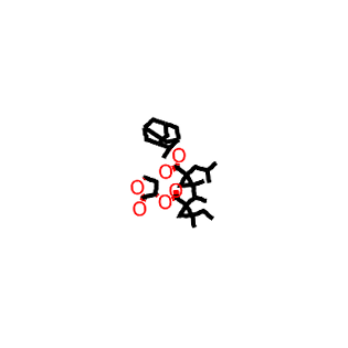 CCC1(C)CC1(C(=O)OC1CCOC1=O)C(C)C1(C)CC1(CC(C)C)C(=O)OC1(C)C2CC3CC(C2)CC1C3